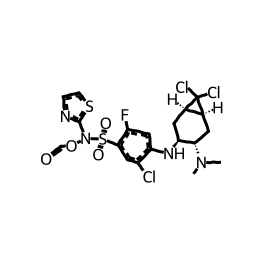 CN(C)[C@H]1C[C@H]2[C@@H](C[C@@H]1Nc1cc(F)c(S(=O)(=O)N(OC=O)c3nccs3)cc1Cl)C2(Cl)Cl